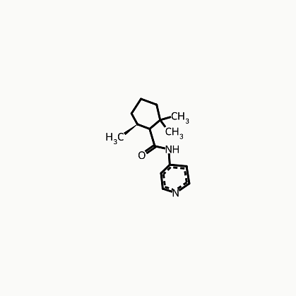 C[C@H]1CCCC(C)(C)C1C(=O)Nc1ccncc1